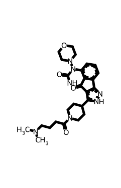 CN(C)CCCC(=O)N1CCC(c2[nH]nc3c2C(=O)c2c-3cccc2N(C(N)=O)N2CCOCC2)CC1